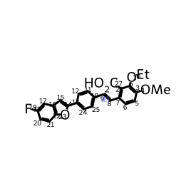 CCOc1c(OC)ccc(/C=C/c2ccc(-c3cc4cc(F)ccc4o3)cc2)c1C(=O)O